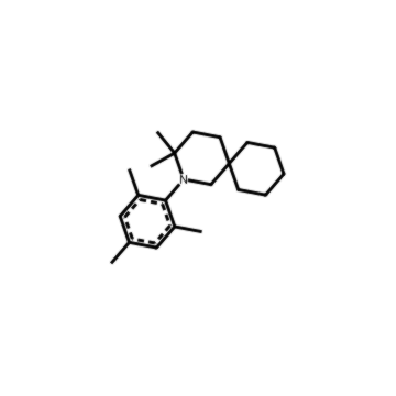 Cc1cc(C)c(N2CC3(CCCCC3)CCC2(C)C)c(C)c1